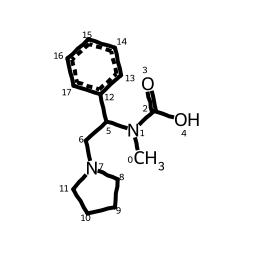 CN(C(=O)O)C(CN1CCCC1)c1ccccc1